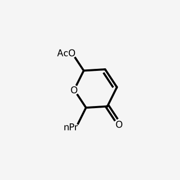 CCCC1OC(OC(C)=O)C=CC1=O